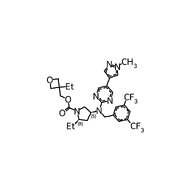 CC[C@@H]1C[C@H](N(Cc2cc(C(F)(F)F)cc(C(F)(F)F)c2)c2ncc(-c3cnn(C)c3)cn2)CN1C(=O)OCC1(CC)COC1